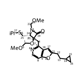 COCO[C@@]1(Cc2nccc3oc(CCC4CC4)cc23)C(=O)N(COC)[C@H]1CSC(C)C